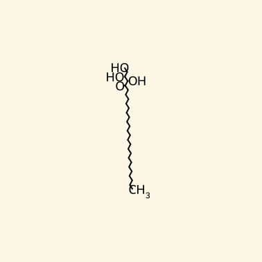 CCCCCCCCCCCCCCCCCCCCCCCC(=O)C(O)C(O)CO